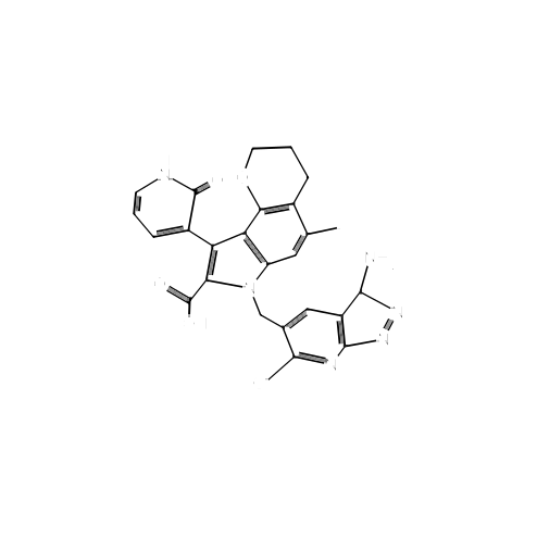 NC1N=Nc2nc(Cl)c(Cn3c(C(=O)O)c(-c4ccc[nH]c4=O)c4c5c(c(F)cc43)CCCO5)cc21